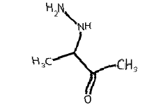 CC(=O)C(C)NN